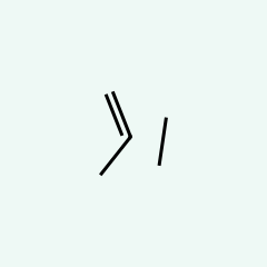 C=CC.CC